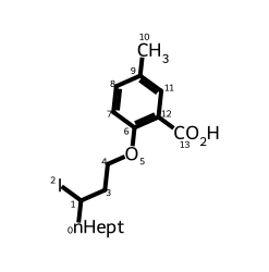 CCCCCCCC(I)CCOc1ccc(C)cc1C(=O)O